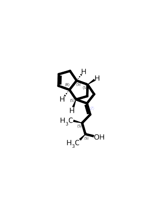 C[C@H](O)[C@@H](C)/C=C1/C[C@@H]2C[C@H]1[C@H]1C=CC[C@@H]21